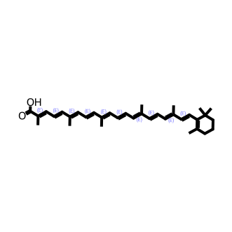 CC1=C(/C=C/C(C)=C/C=C/C(C)=C/C=C/C=C(C)/C=C/C=C(C)/C=C/C=C(\C)C(=O)O)C(C)(C)CCC1